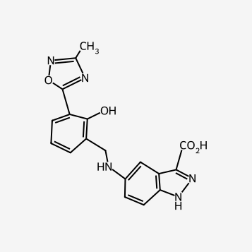 Cc1noc(-c2cccc(CNc3ccc4[nH]nc(C(=O)O)c4c3)c2O)n1